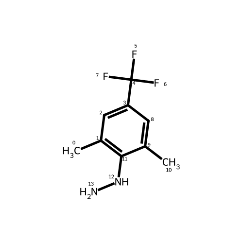 Cc1cc(C(F)(F)F)cc(C)c1NN